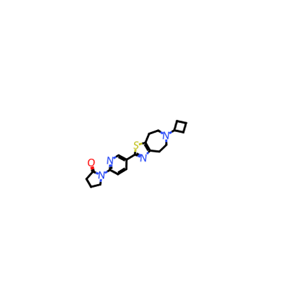 O=C1CCCN1c1ccc(-c2nc3c(s2)CCN(C2CCC2)CC3)cn1